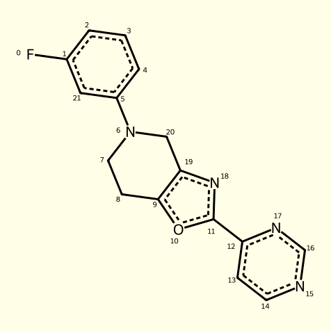 Fc1cccc(N2CCc3oc(-c4ccncn4)nc3C2)c1